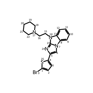 Brc1ccc(-c2cn3c4ccccc4n(CCN4CCCCC4)c3n2)s1